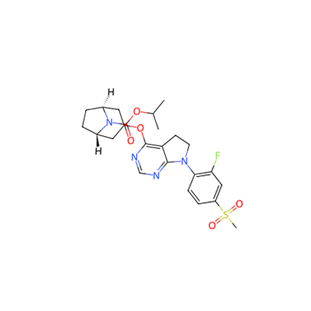 CC(C)OC(=O)N1[C@H]2CC[C@H]1CC(Oc1ncnc3c1CCN3c1ccc(S(C)(=O)=O)cc1F)C2